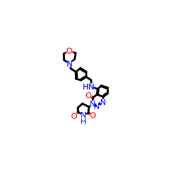 O=C1CCC(n2nnc3cccc(NCc4ccc(CN5CCOCC5)cc4)c3c2=O)C(=O)N1